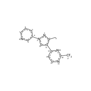 Cc1nn(-c2cccnc2)cc1-c1ccnc(C(F)(F)F)n1